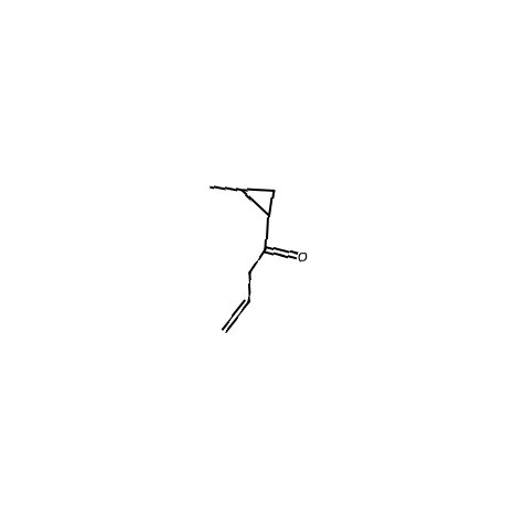 C=CCC(=O)C1CC1C